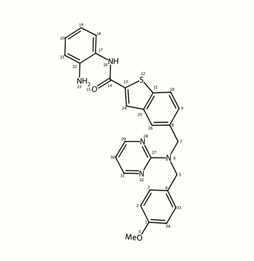 COc1ccc(CN(Cc2ccc3sc(C(=O)Nc4ccccc4N)cc3c2)c2ncccn2)cc1